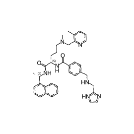 Cc1cccnc1CN(C)CCC[C@H](NC(=O)c1ccc(CNCc2ncc[nH]2)cc1)C(=O)N[C@@H](C)c1cccc2ccccc12